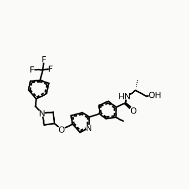 Cc1cc(-c2ccc(OC3CN(Cc4ccc(C(F)(F)F)cc4)C3)cn2)ccc1C(=O)N[C@H](C)CO